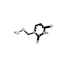 COCn1ccc(=O)[nH]c1=O